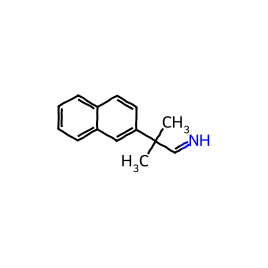 CC(C)(C=N)c1ccc2ccccc2c1